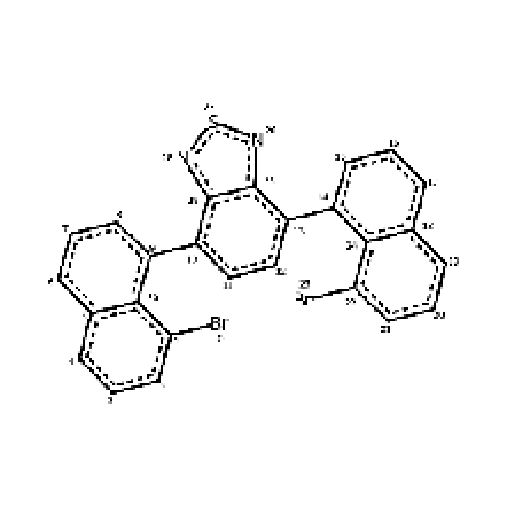 Brc1cccc2cccc(-c3ccc(-c4cccc5cccc(Br)c45)c4nsnc34)c12